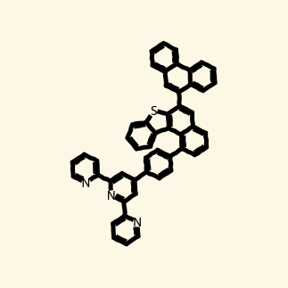 c1ccc(-c2cc(-c3ccc(-c4cccc5cc(-c6cc7ccccc7c7ccccc67)c6sc7ccccc7c6c45)cc3)cc(-c3ccccn3)n2)nc1